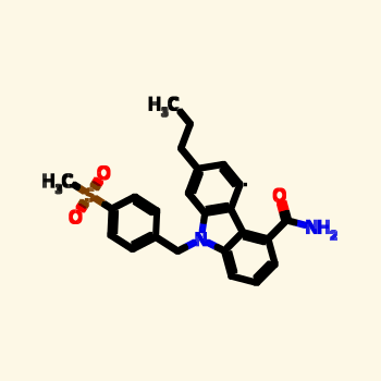 CCCc1c[c]c2c3c(C(N)=O)cccc3n(Cc3ccc(S(C)(=O)=O)cc3)c2c1